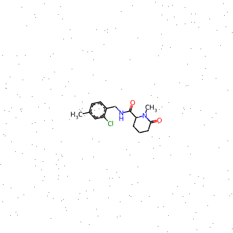 Cc1ccc(CNC(=O)C2CCCC(=O)N2C)c(Cl)c1